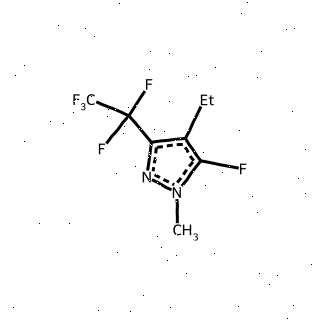 CCc1c(C(F)(F)C(F)(F)F)nn(C)c1F